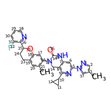 Cc1cnn(-c2cc3c(c(C4CC4)n2)CN(c2cc4c(cc2C)CCC(c2ncccc2F)O4)C(=O)N3)c1